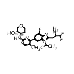 CC(C)n1c(CC(N)C(F)F)nc2c(F)cc(-c3nc(N[C@@H]4CCOC[C@H]4O)ncc3Cl)cc21